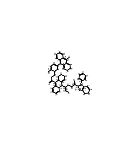 C=C(CCC1CC(c2c3c(c(C)c4ccccc24)=CCCC=3)=CC=C1C)C1=C2C=CC=CC2C(/C(=C/C)CCC(=C)C2NC3=C(C=CCC3)N2c2ccccc2)C2=CCCC=C21